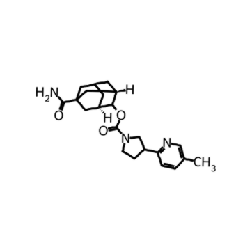 Cc1ccc(C2CCN(C(=O)OC3[C@@H]4CC5C[C@H]3CC(C(N)=O)(C5)C4)C2)nc1